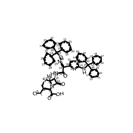 O=C(O)C1=C(CCl)CS[C@@H]2[C@H](NC(=O)C(=NOC(c3ccccc3)(c3ccccc3)c3ccccc3)c3csc(NC(c4ccccc4)(c4ccccc4)c4ccccc4)n3)C(=O)N12